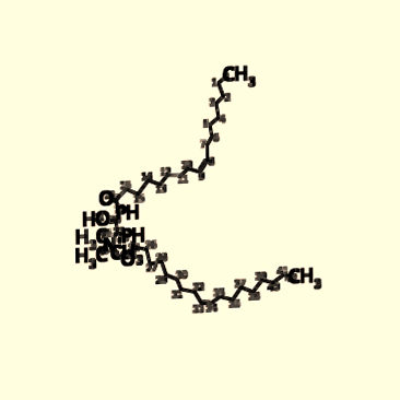 CCCCCCCC/C=C\CCCCCCCC(=O)PC(O)C(PC(=O)CCCCCCC/C=C\CCCCCCCC)[N+](C)(C)C